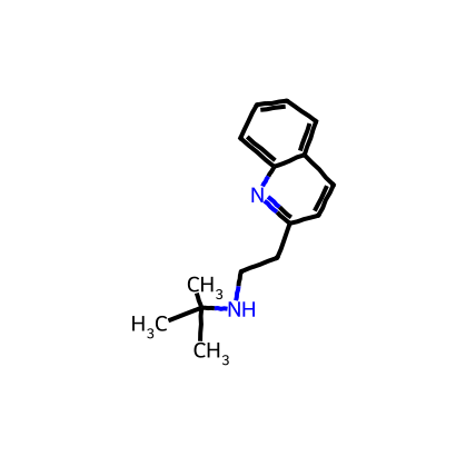 CC(C)(C)NCCc1ccc2ccccc2n1